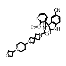 CCOc1ncccc1[C@]1(NC(=O)N2CC3(C2)CN(C2CCN(C4COC4)CC2)C3)C(=O)Nc2ccc(C#N)cc21